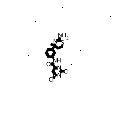 CC1(c2cccc(NC(=O)c3cc(Cl)nc(Cl)n3)c2)CCSC(N)=N1